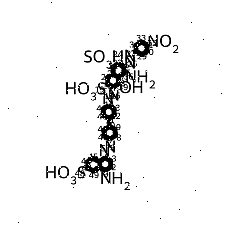 Nc1ccc(/N=N/c2ccc(-c3ccc(/N=N/c4c(S(=O)(=O)O)cc5cc(S(=O)(=O)O)c(/N=N/c6ccc([N+](=O)[O-])cc6)c(N)c5c4O)cc3)cc2)c2ccc(S(=O)(=O)O)cc12